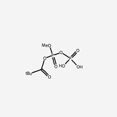 COP(=O)(OC(=O)C(C)(C)C)OP(=O)(O)O